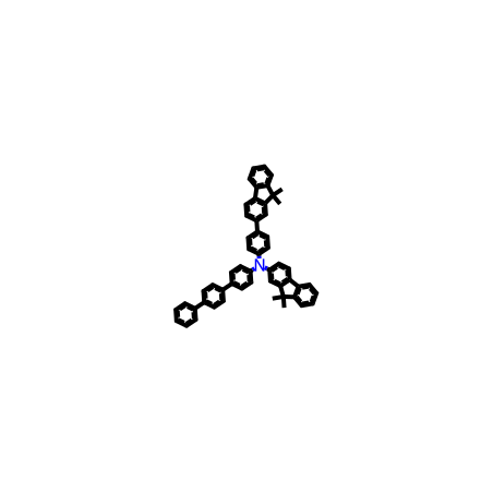 CC1(C)c2ccccc2-c2ccc(-c3ccc(N(c4ccc(-c5ccc(-c6ccccc6)cc5)cc4)c4ccc5c(c4)C(C)(C)c4ccccc4-5)cc3)cc21